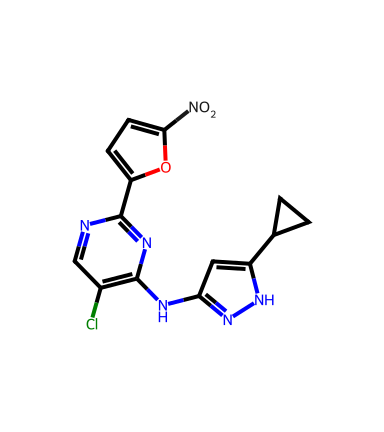 O=[N+]([O-])c1ccc(-c2ncc(Cl)c(Nc3cc(C4CC4)[nH]n3)n2)o1